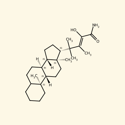 CC(=C(O)C(N)=O)C(C)(C)[C@H]1CC[C@H]2[C@@H]3CCC4CCCC[C@]4(C)[C@H]3CC[C@]12C